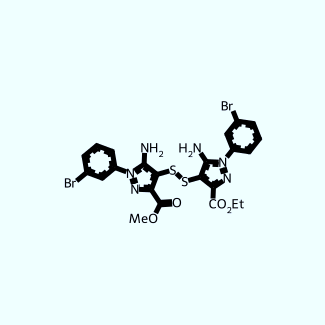 CCOC(=O)c1nn(-c2cccc(Br)c2)c(N)c1SSc1c(C(=O)OC)nn(-c2cccc(Br)c2)c1N